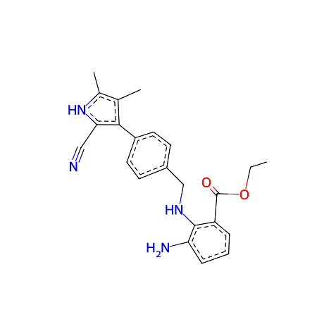 CCOC(=O)c1cccc(N)c1NCc1ccc(-c2c(C#N)[nH]c(C)c2C)cc1